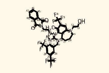 Cc1cc2c(cc1C(F)(F)F)N(CCO)CCC[C@@H]2N(Cc1cc(C(F)(F)F)cc(C(F)(F)F)c1)c1nnn(CCN2C(=O)c3ccccc3C2=O)n1